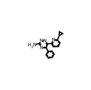 Nc1nnc(-c2cccc(C3CC3)n2)c(-c2ccccc2)n1